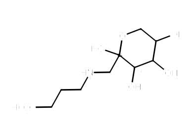 O=C(O)CCCNCC1(O)OCC(O)C(O)C1O